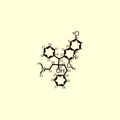 COc1nc2ccc(Cl)cc2cc1C(c1ccccc1)C(O)(CCc1ccccc1)CCN(C)C